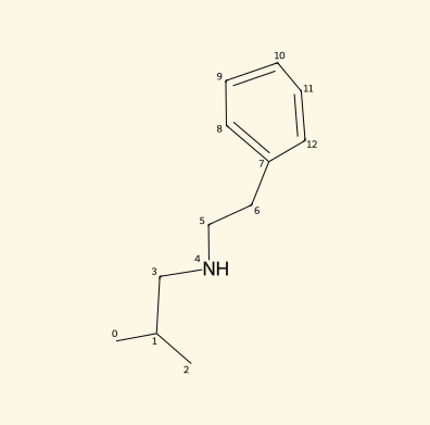 CC(C)CNCCc1ccccc1